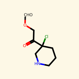 O=COCC(=O)C1(Cl)CCCNC1